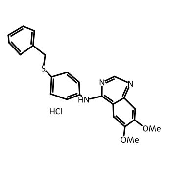 COc1cc2ncnc(Nc3ccc(SCc4ccccc4)cc3)c2cc1OC.Cl